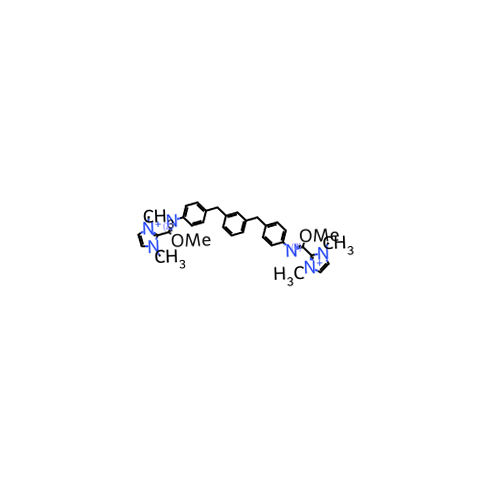 CO/C(=N\c1ccc(Cc2cccc(Cc3ccc(/N=C(\OC)c4n(C)cc[n+]4C)cc3)c2)cc1)c1n(C)cc[n+]1C